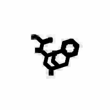 CC(C)C(=O)NC1CNC2Cc3ccccc3N1C2